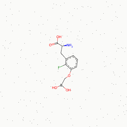 N[C@@H](Cc1cccc(OCB(O)O)c1F)C(=O)O